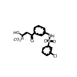 O=C(O)/C(O)=C\C(=O)c1cccc(NS(=O)(=O)c2cccc(Cl)c2)c1